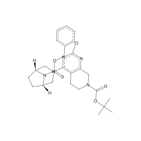 CC(C)(C)OC(=O)N1CCc2c(nc(Cl)nc2N2C[C@H]3CC[C@@H](C2)N3C(=O)OCc2ccccc2)C1